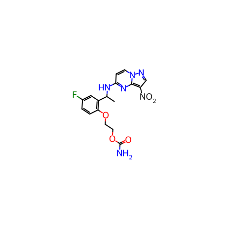 CC(Nc1ccn2ncc([N+](=O)[O-])c2n1)c1cc(F)ccc1OCCOC(N)=O